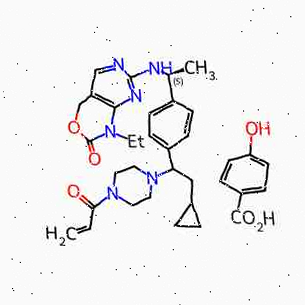 C=CC(=O)N1CCN(C(CC2CC2)c2ccc([C@H](C)Nc3ncc4c(n3)N(CC)C(=O)OC4)cc2)CC1.O=C(O)c1ccc(O)cc1